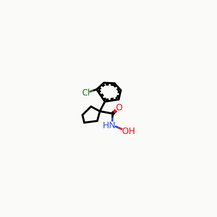 O=C(NO)C1(c2ccccc2Cl)CCCC1